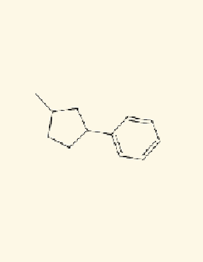 CC1CCC(c2ccccc2)C1